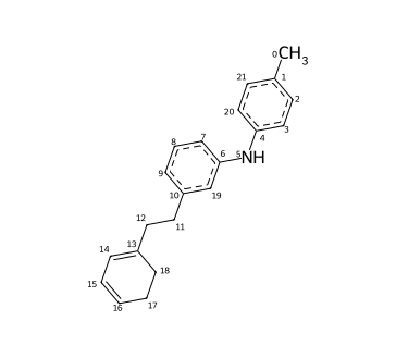 Cc1ccc(Nc2cccc(CCC3=CC=CCC3)c2)cc1